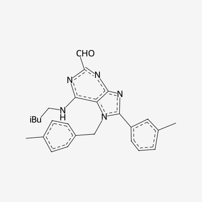 CCC(C)CNc1nc(C=O)nc2nc(-c3cccc(C)c3)n(Cc3ccc(C)cc3)c12